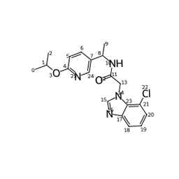 CC(C)Oc1ccc(C(C)NC(=O)Cn2cnc3cccc(Cl)c32)cn1